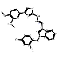 COc1ccc(-c2csc(N/N=C/c3cn(Cc4ccc(Cl)cc4Cl)c4ccccc34)n2)cc1OC